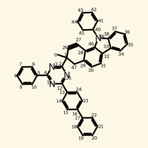 CC1(c2nc(-c3ccccc3)nc(-c3ccc(-c4ccccc4)cc3)n2)C#Cc2c(ccc3c4ccccc4n(C4C=CC=CC4)c23)C1